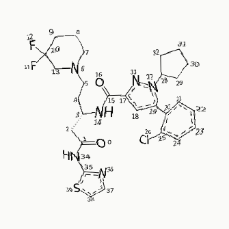 O=C(C[C@H](CCN1CCCC(F)(F)C1)NC(=O)c1cc(-c2ccccc2Cl)n(C2CCCC2)n1)Nc1nccs1